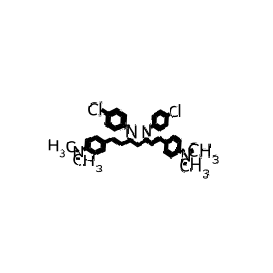 CN(C)c1ccc(C=CC(CC(C=Cc2ccc(N(C)C)cc2)=Nc2ccc(Cl)cc2)=Nc2ccc(Cl)cc2)cc1